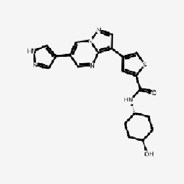 O=C(N[C@H]1CC[C@H](O)CC1)c1cc(-c2cnn3cc(-c4cn[nH]c4)cnc23)cs1